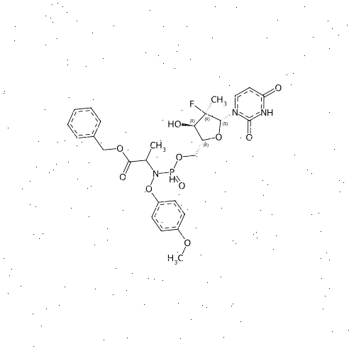 COc1ccc(ON(C(C)C(=O)OCc2ccccc2)[PH](=O)OC[C@H]2O[C@@H](n3ccc(=O)[nH]c3=O)[C@](C)(F)[C@@H]2O)cc1